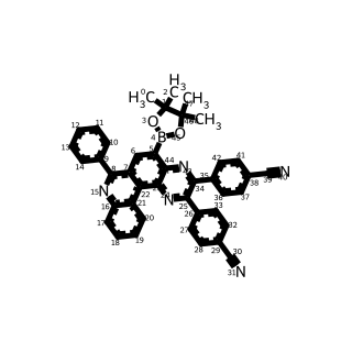 CC1(C)OB(c2cc3c(-c4ccccc4)nc4ccccc4c3c3nc(-c4ccc(C#N)cc4)c(-c4ccc(C#N)cc4)nc23)OC1(C)C